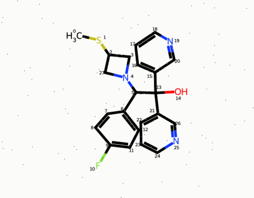 CSC1CN(C(c2ccc(F)cc2)C(O)(c2cccnc2)c2cccnc2)C1